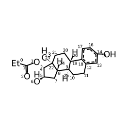 CCC(=O)O[C@H]1[C@H](O)C[C@H]2[C@@H]3CCc4cc(O)ccc4[C@H]3CC[C@@]21C